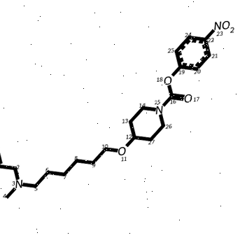 C=CCN(C)CCCCCCOC1CCN(C(=O)Oc2ccc([N+](=O)[O-])cc2)CC1